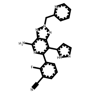 N#Cc1cccc(-c2nc(N)c3nn(Cc4ccccn4)nc3c2-c2ccn[nH]2)c1F